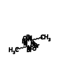 CCCCCCCC1=C2C=CC(=N2)C(c2c(Br)cccc2Br)=C2C=CC(=N2)C(CCCCCCC)=C2C=CC(=N2)C(c2c(Br)cccc2Br)=C2C=CC1=N2